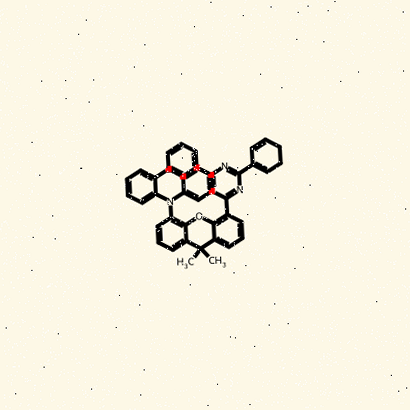 CC1(C)c2cccc(-c3nc(C4=CCCC=C4)nc(-c4ccccc4)n3)c2Oc2c(N3c4ccccc4Sc4ccccc43)cccc21